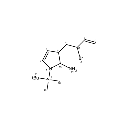 C=CC(Br)CC1C=CN([Si](C)(C)C(C)(C)C)C1N